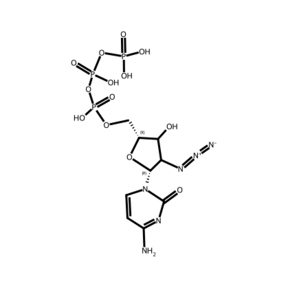 [N-]=[N+]=NC1C(O)[C@@H](COP(=O)(O)OP(=O)(O)OP(=O)(O)O)O[C@H]1n1ccc(N)nc1=O